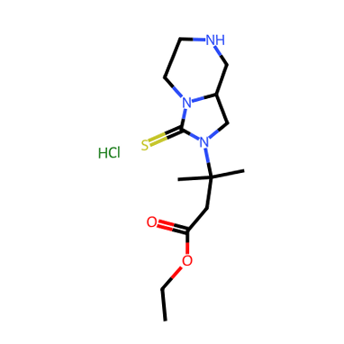 CCOC(=O)CC(C)(C)N1CC2CNCCN2C1=S.Cl